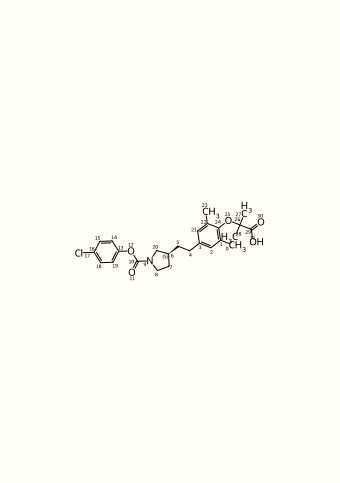 Cc1cc(CC[C@H]2CCN(C(=O)Oc3ccc(Cl)cc3)C2)cc(C)c1OC(C)(C)C(=O)O